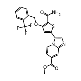 COC(=O)c1ccn2c(-c3cc(OCc4ccccc4C(F)(F)F)c(C(N)=O)s3)cnc2c1